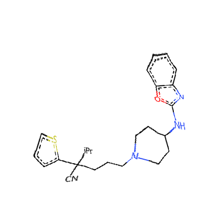 CC(C)C(C#N)(CCCN1CCC(Nc2nc3ccccc3o2)CC1)c1cccs1